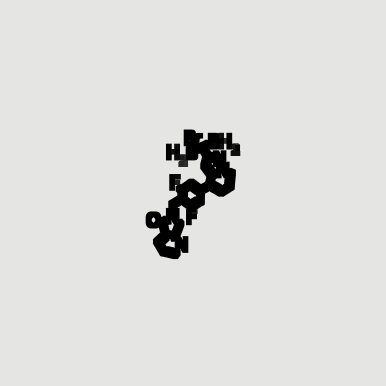 BC(B)(Br)c1cc2c(-c3cc(F)c(CN4Cc5ncccc5C4=O)c(F)c3)cccn2n1